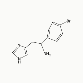 NC(Cc1c[nH]cn1)c1ccc(Br)cc1